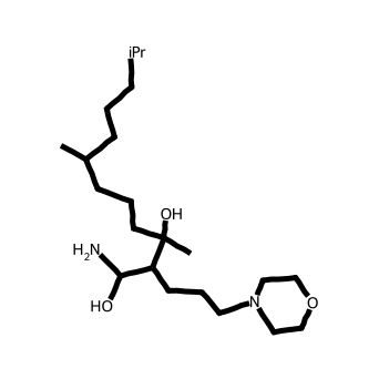 CC(C)CCCC(C)CCCC(C)(O)C(CCCN1CCOCC1)C(N)O